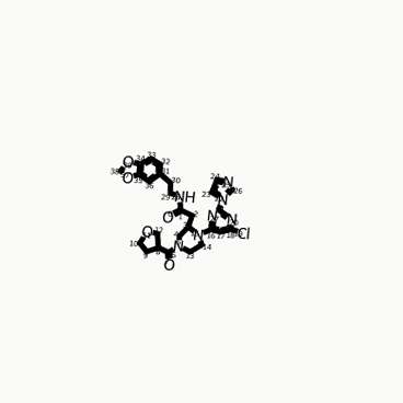 O=C(CC1CN(C(=O)C2CCOC2)CCN1c1cc(Cl)nc(-n2ccnc2)n1)NCCc1ccc2c(c1)OCO2